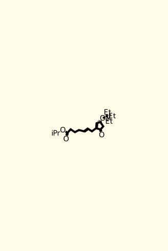 CC[Si](CC)(CC)O[C@H]1C=C(CC=CCCCC(=O)OC(C)C)C(=O)C1